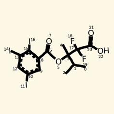 CC(C)C(C)(OC(=O)c1cc(I)cc(I)c1I)C(F)(F)C(=O)O